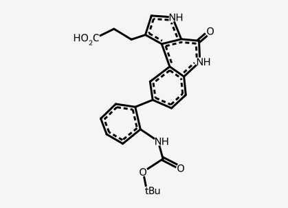 CC(C)(C)OC(=O)Nc1ccccc1-c1ccc2[nH]c(=O)c3[nH]cc(CCC(=O)O)c3c2c1